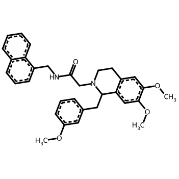 COc1cccc(CC2c3cc(OC)c(OC)cc3CCN2CC(=O)NCc2cccc3ccccc23)c1